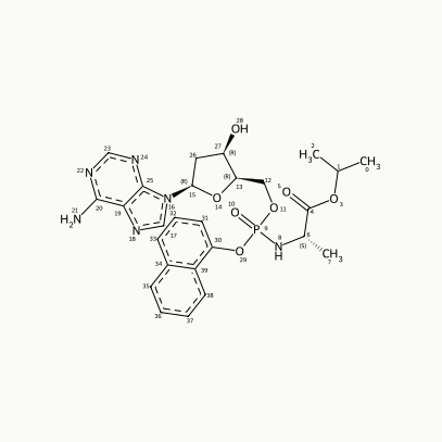 CC(C)OC(=O)[C@H](C)NP(=O)(OC[C@H]1O[C@@H](n2cnc3c(N)ncnc32)C[C@H]1O)Oc1cccc2ccccc12